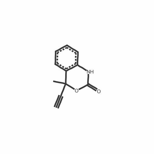 C#CC1(C)OC(=O)Nc2ccccc21